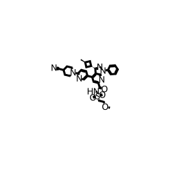 COCCS(=O)(=O)NC(=O)c1cc(-c2ccc(N3CCC(C#N)CC3)nc2)c2c(n1)n(-c1ccccc1)nc2[C@H]1C[C@H](C)C1